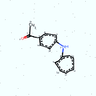 CC(=O)c1ccc(Nc2ccccc2)cc1